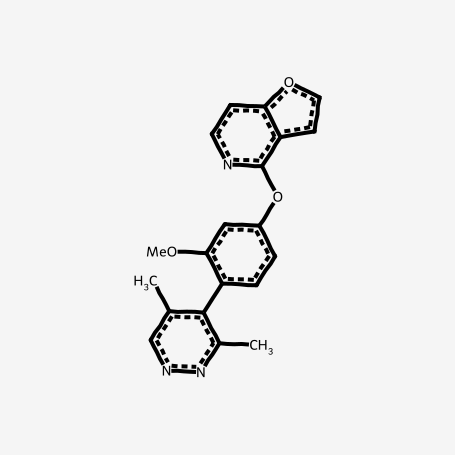 COc1cc(Oc2nccc3occc23)ccc1-c1c(C)cnnc1C